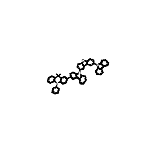 CC1(C)c2ccccc2N(c2ccccc2)c2ccc(-c3ccc4c(c3)c3ccccc3n4-c3ccc4oc5ccc(-n6c7ccccc7c7ccccc76)cc5c4c3)cc21